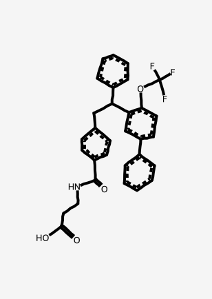 O=C(O)CCNC(=O)c1ccc(CC(c2ccccc2)c2cc(-c3ccccc3)ccc2OC(F)(F)F)cc1